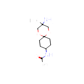 CC(C)C(=O)NC1CCC2(CC1)OCC(C)(N)CO2